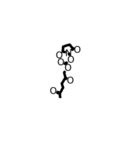 CC(=O)CCC(=O)COC(=O)ON1C(=O)CCC1=O